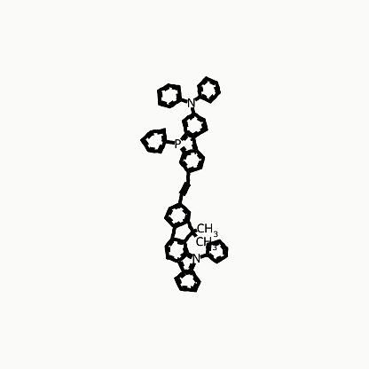 CC1(C)c2cc(C#Cc3ccc4c5ccc(N(c6ccccc6)c6ccccc6)cc5p(-c5ccccc5)c4c3)ccc2-c2ccc3c4ccccc4n(-c4ccccc4)c3c21